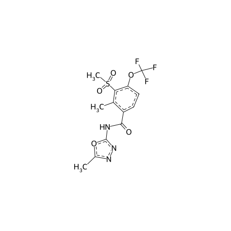 Cc1nnc(NC(=O)c2ccc(OC(F)(F)F)c(S(C)(=O)=O)c2C)o1